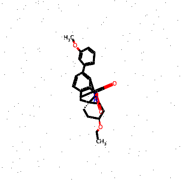 CCO[C@H]1CC[C@]2(CC1)Cc1ccc(-c3cccc(OC)c3)cc1C21NC(=O)NC1=O